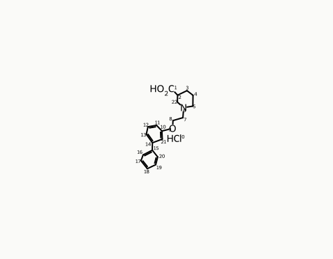 Cl.O=C(O)C1CCCN(CCOc2cccc(-c3ccccc3)c2)C1